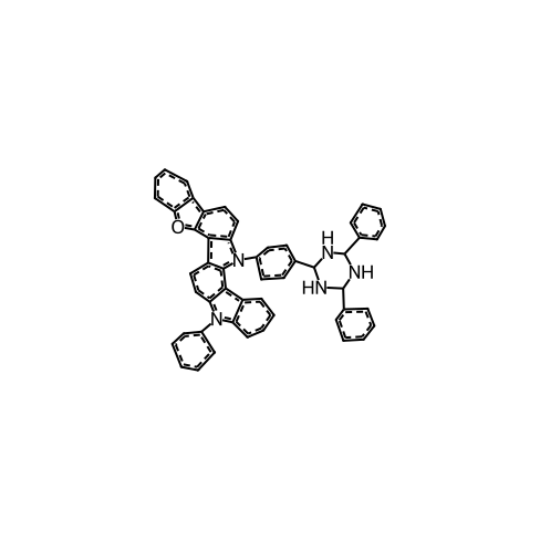 c1ccc(C2NC(c3ccccc3)NC(c3ccc(-n4c5ccc6c7ccccc7oc6c5c5ccc6c(c7ccccc7n6-c6ccccc6)c54)cc3)N2)cc1